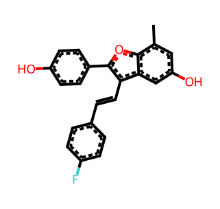 Cc1cc(O)cc2c(C=Cc3ccc(F)cc3)c(-c3ccc(O)cc3)oc12